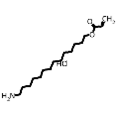 C=CC(=O)OCCCCCCCCCCCCCCN.Cl